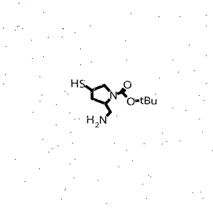 CC(C)(C)OC(=O)N1CC(S)CC1CN